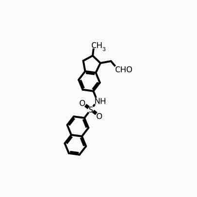 CC1Cc2ccc(NS(=O)(=O)c3ccc4ccccc4c3)cc2C1CC=O